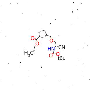 C=CCOC(=O)c1cccc(COCC(C#N)NC(=O)OC(C)(C)C)c1